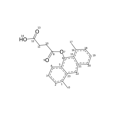 Cc1cccc2c(OC(=O)CCC(=O)O)c3c(C)cccc3cc12